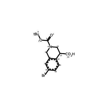 CC(C)(C)OC(=O)N1Cc2cc(Br)ccc2C(C(=O)O)C1